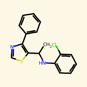 [CH2]C(Nc1ccccc1Cl)c1scnc1-c1ccccc1